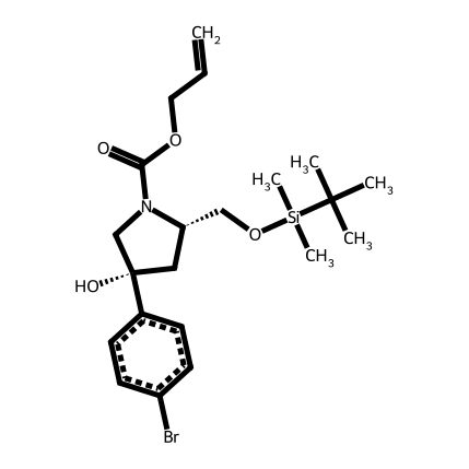 C=CCOC(=O)N1C[C@](O)(c2ccc(Br)cc2)C[C@H]1CO[Si](C)(C)C(C)(C)C